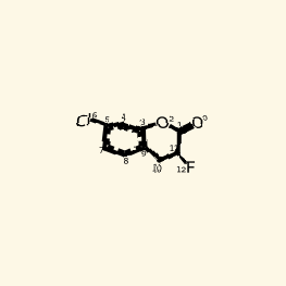 O=C1Oc2cc(Cl)ccc2C[C@@H]1F